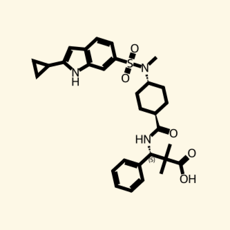 CN([C@H]1CC[C@H](C(=O)N[C@@H](c2ccccc2)C(C)(C)C(=O)O)CC1)S(=O)(=O)c1ccc2cc(C3CC3)[nH]c2c1